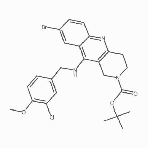 COc1ccc(CNc2c3c(nc4ccc(Br)cc24)CCN(C(=O)OC(C)(C)C)C3)cc1Cl